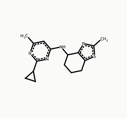 Cc1cc(NC2CCCc3sc(C)nc32)nc(C2CC2)n1